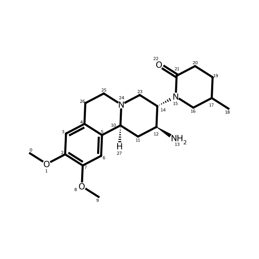 COc1cc2c(cc1OC)[C@@H]1C[C@H](N)[C@@H](N3CC(C)CCC3=O)CN1CC2